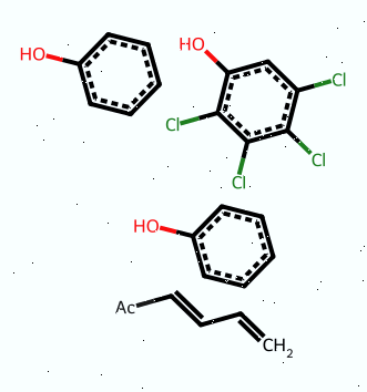 C=CC=CC(C)=O.Oc1cc(Cl)c(Cl)c(Cl)c1Cl.Oc1ccccc1.Oc1ccccc1